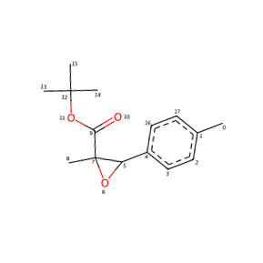 Cc1ccc(C2OC2(C)C(=O)OC(C)(C)C)cc1